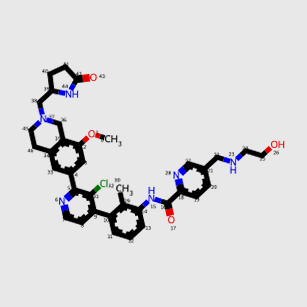 COc1cc(-c2nccc(-c3cccc(NC(=O)c4ccc(CNCCO)cn4)c3C)c2Cl)cc2c1CN(CC1CCC(=O)N1)CC2